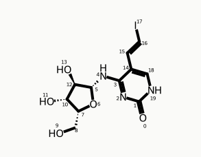 O=c1nc(N[C@@H]2O[C@H](CO)[C@H](O)[C@H]2O)c(C=CI)c[nH]1